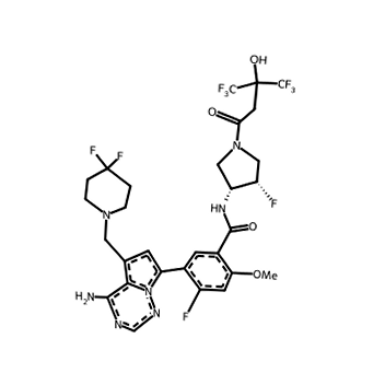 COc1cc(F)c(-c2cc(CN3CCC(F)(F)CC3)c3c(N)ncnn23)cc1C(=O)N[C@@H]1CN(C(=O)CC(O)(C(F)(F)F)C(F)(F)F)C[C@@H]1F